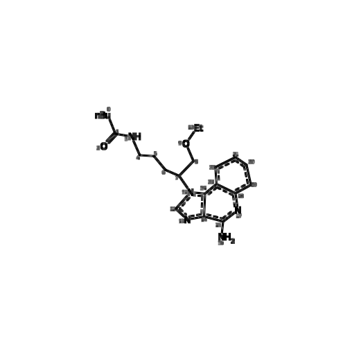 CCCCC(=O)NCCCC(COCC)n1cnc2c(N)nc3ccccc3c21